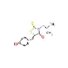 CC(C)CN1C(=O)/C(=C/c2ccc(O)cc2)SC1=S